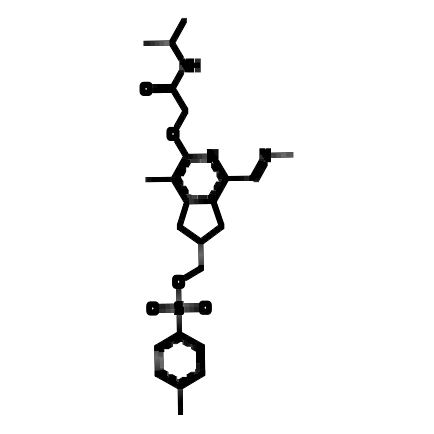 CN=Cc1nc(OCC(=O)NC(C)C)c(C)c2c1CC(COS(=O)(=O)c1ccc(C)cc1)C2